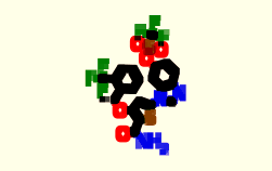 C[C@@H](Oc1cc(-n2cnc3ccc(OS(=O)(=O)C(F)(F)F)cc32)sc1C(N)=O)c1ccccc1C(F)(F)F